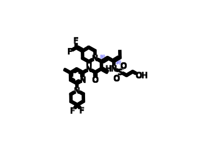 C=C(C(=O)Nc1cc(C)cc(N2CCC(F)(F)CC2)n1)/C(=C\C(=C/C)NS(=O)(=O)CCO)N1CCC(=C(F)F)CC1